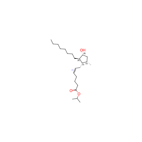 CCCCCCCC[C@@H]1[C@@H](C/C=C\CCCC(=O)OC(C)C)[C@@H](C)C[C@H]1O